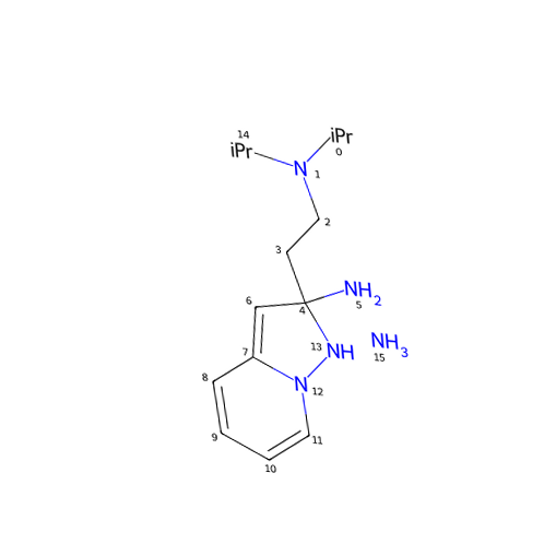 CC(C)N(CCC1(N)C=C2C=CC=CN2N1)C(C)C.N